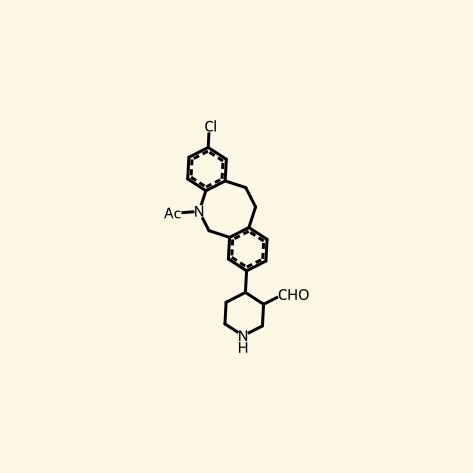 CC(=O)N1Cc2cc(C3CCNCC3C=O)ccc2CCc2cc(Cl)ccc21